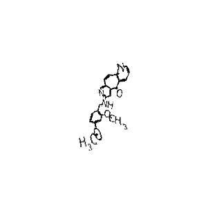 COc1ccc(CNc2cc3c(=O)c4cccnc4ccc3cn2)c(OC)c1